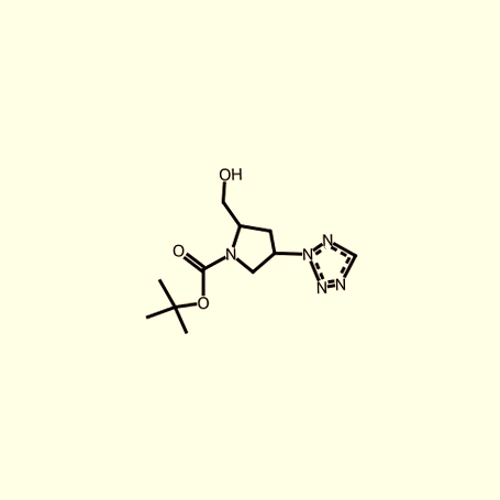 CC(C)(C)OC(=O)N1CC(n2ncnn2)CC1CO